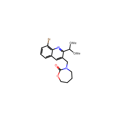 COC(OC)c1nc2c(Br)cccc2cc1CN1CCCCOC1=O